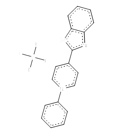 F[B-](F)(F)F.c1ccc(-[n+]2ccc(-c3nc4ccccc4[se]3)cc2)cc1